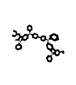 C=CC(C=C)=Cc1c(C)n(-c2ccccc2)c2ccc(N(c3ccccc3)c3ccc(-c4ccc(N(c5ccccc5)c5ccc6c(c5)c5cc(C=C)ccc5n6-c5ccccc5)cc4)cc3)cc12